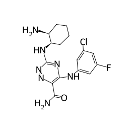 NC(=O)c1nnc(N[C@@H]2CCCC[C@@H]2N)nc1Nc1cc(F)cc(Cl)c1